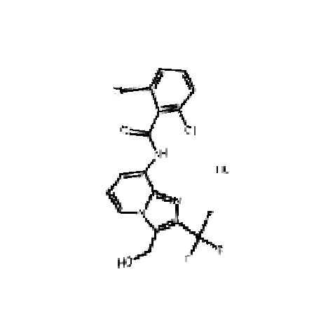 Cl.O=C(Nc1cccn2c(CO)c(C(F)(F)F)nc12)c1c(Cl)cccc1Cl